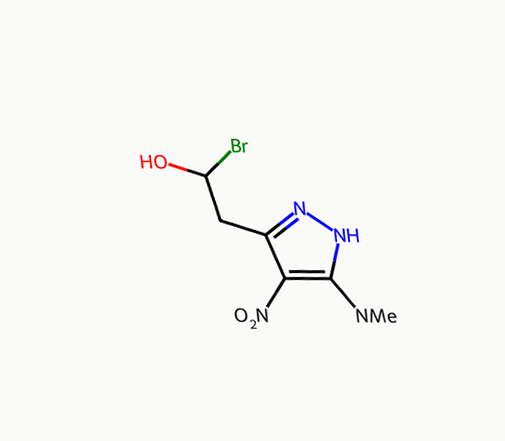 CNc1[nH]nc(CC(O)Br)c1[N+](=O)[O-]